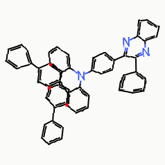 c1ccc(-c2ccc(-c3ccccc3N(c3ccc(-c4nc5ccccc5nc4-c4ccccc4)cc3)c3ccccc3-c3ccc(-c4ccccc4)cc3)cc2)cc1